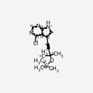 CC(C)(C#Cc1c[nH]c2ncnc(Cl)c12)O[Si](C)(C)C